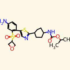 CC(C)OC(=O)NC1CCC(c2ncc(-c3ccc(N)cc3S(=O)(=O)C3COC3)s2)CC1